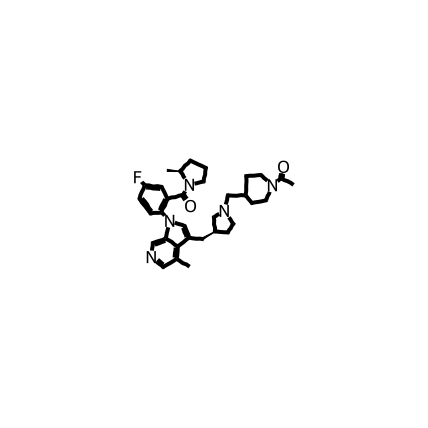 CC(=O)N1CCC(CN2CC[C@@H](Cc3cn(-c4ccc(F)cc4C(=O)N4CCC[C@@H]4C)c4cncc(C)c34)C2)CC1